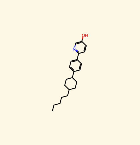 CCCCCC1CCC(c2ccc(-c3ccc(O)cn3)cc2)CC1